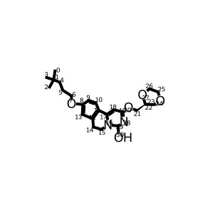 CC(C)(C)CCCOc1ccc2c(c1)CCN1C2=CC(OC[C@@H]2COCCO2)=NC1O